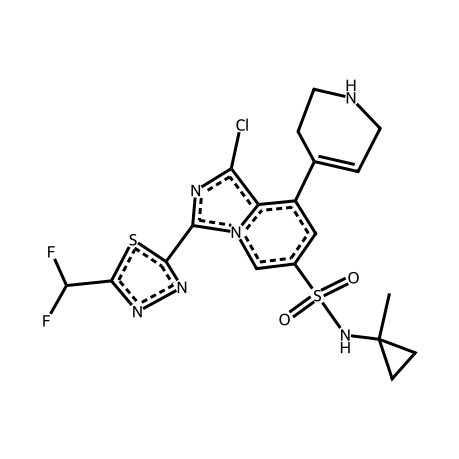 CC1(NS(=O)(=O)c2cc(C3=CCNCC3)c3c(Cl)nc(-c4nnc(C(F)F)s4)n3c2)CC1